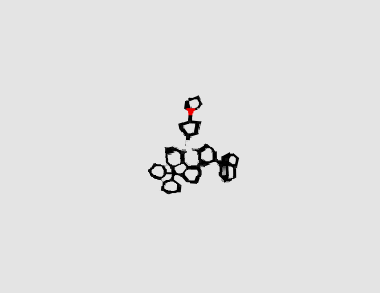 c1ccc(C2(c3ccccc3)c3ccccc3-c3c(N(c4ccc(C5CC6CCC5C6)cc4)c4ccc(C56CC7CC(CC(C7)C5)C6)cc4)cccc32)cc1